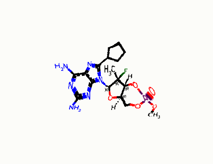 COP1(=O)OC[C@H]2O[C@@H](n3c(C4CCCC4)nc4c(N)nc(N)nc43)[C@](C)(F)[C@@H]2O1